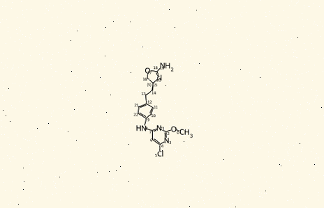 COc1nc(Cl)cc(Nc2ccc(CC[C@H]3COC(N)=N3)cc2)n1